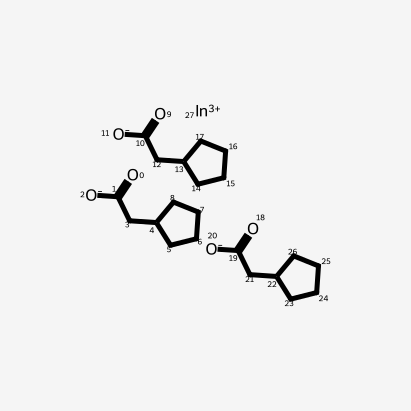 O=C([O-])CC1CCCC1.O=C([O-])CC1CCCC1.O=C([O-])CC1CCCC1.[In+3]